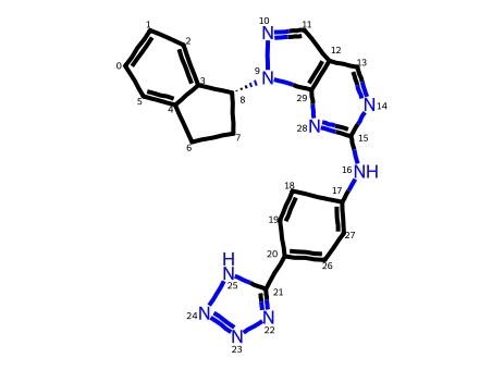 c1ccc2c(c1)CC[C@H]2n1ncc2cnc(Nc3ccc(-c4nnn[nH]4)cc3)nc21